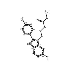 COC(=O)CCCc1c(-c2ccc(Cl)cc2)[nH]c2ccc(Cl)cc12